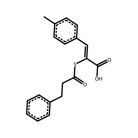 Cc1ccc(C=C(SC(=O)CCc2ccccc2)C(=O)O)cc1